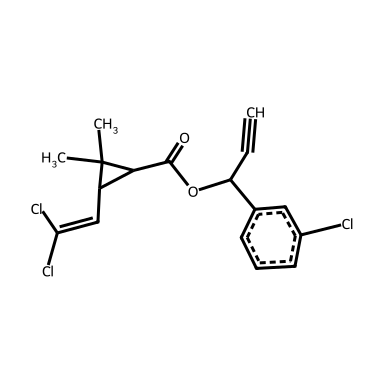 C#CC(OC(=O)C1C(C=C(Cl)Cl)C1(C)C)c1cccc(Cl)c1